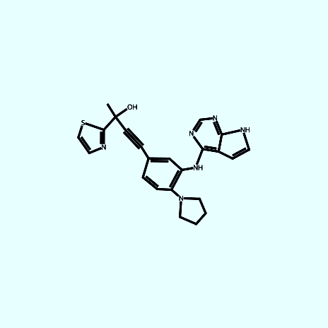 CC(O)(C#Cc1ccc(N2CCCC2)c(Nc2ncnc3[nH]ccc23)c1)c1nccs1